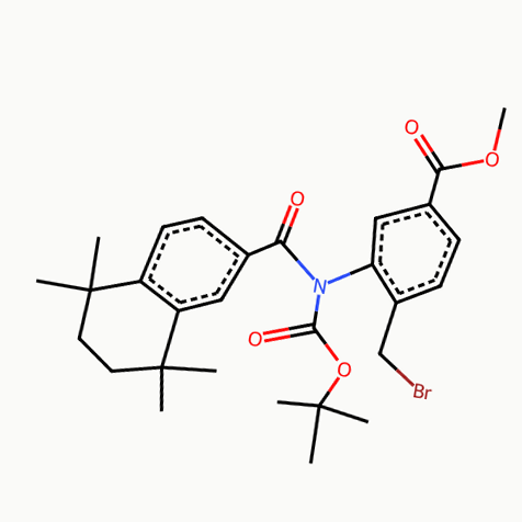 COC(=O)c1ccc(CBr)c(N(C(=O)OC(C)(C)C)C(=O)c2ccc3c(c2)C(C)(C)CCC3(C)C)c1